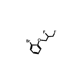 FCC(F)COc1ccccc1Br